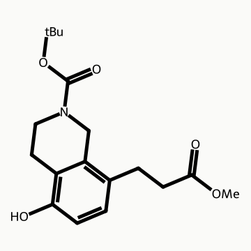 COC(=O)CCc1ccc(O)c2c1CN(C(=O)OC(C)(C)C)CC2